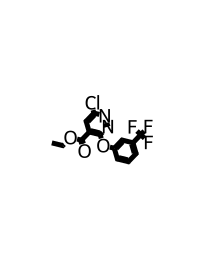 CCOC(=O)c1cc(Cl)nnc1Oc1cccc(C(F)(F)F)c1